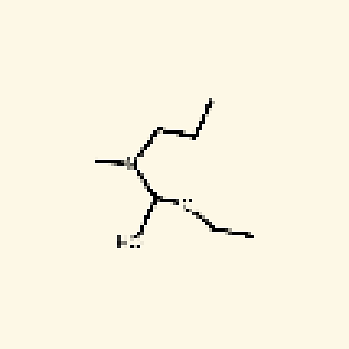 CCCN(C)C(O)OCC